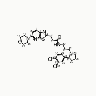 O=C(CCc1nc2ccc(N3CCOCC3)nc2s1)NCCCN1CCCC1c1ccc(Cl)c(Cl)c1